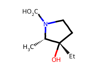 CC[C@]1(O)CCN(C(=O)O)[C@H]1C